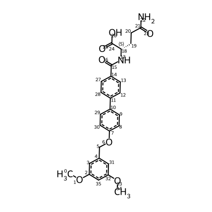 COc1cc(COc2ccc(-c3ccc(C(=O)N[C@@H](CCC(N)=O)C(=O)O)cc3)cc2)cc(OC)c1